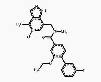 CCOc1cc(C(=O)N(C)Cc2c[n+]([O-])c(C)c3cn[nH]c23)ccc1-c1cccc(F)c1